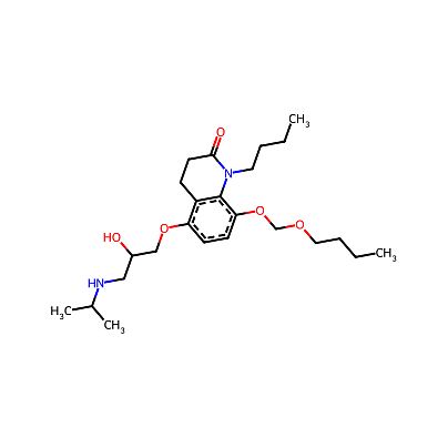 CCCCOCOc1ccc(OCC(O)CNC(C)C)c2c1N(CCCC)C(=O)CC2